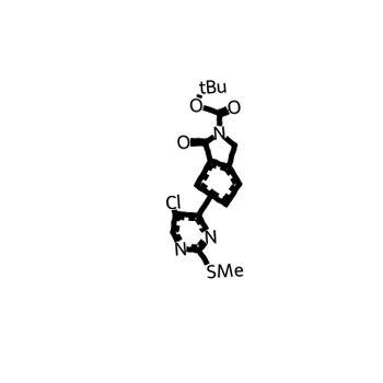 CSc1ncc(Cl)c(-c2ccc3c(c2)C(=O)N(C(=O)OC(C)(C)C)C3)n1